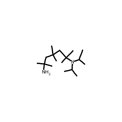 CC(C)N(C(C)C)C(C)(C)CC(C)(C)CC(C)(C)N